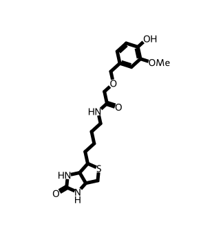 COc1cc(COCC(=O)NCCCCC2SCC3NC(=O)NC32)ccc1O